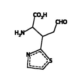 NC(C(=O)O)C(CC=O)c1nccs1